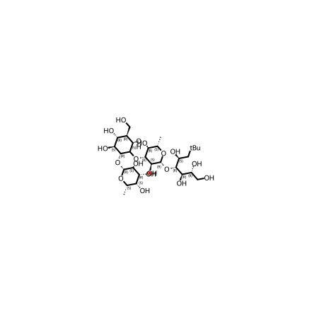 C[C@@H]1O[C@H](O[C@H]2C(O[C@H]3[C@H](O)[C@@H](O[C@@H]([C@H](O)[C@H](O)CO)[C@@H](O)CC(C)(C)C)O[C@@H](C)[C@H]3O)[C@@H](O)[C@H](CO)[C@@H](O)[C@@H]2O)[C@@H](O)[C@H](O)[C@@H]1O